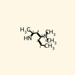 C/C=C\C(=C/C(C)=N)N(C)C